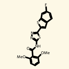 COc1cccc(OC)c1C(=O)Nc1nnc(-c2cc3ccc(F)cc3s2)s1